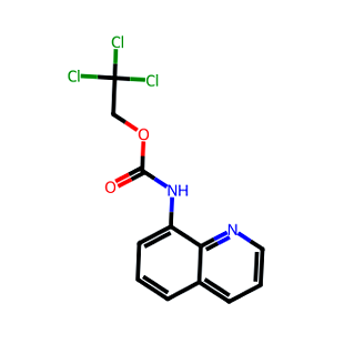 O=C(Nc1cccc2cccnc12)OCC(Cl)(Cl)Cl